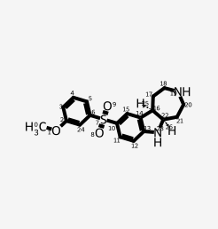 COc1cccc(S(=O)(=O)c2ccc3c(c2)[C@H]2CCNCC[C@H]2N3)c1